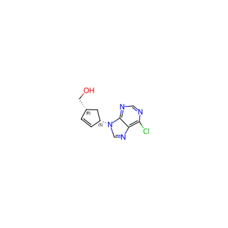 OC[C@H]1C=C[C@@H](n2cnc3c(Cl)ncnc32)C1